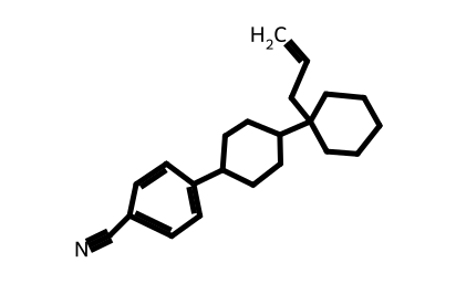 C=CCC1(C2CCC(c3ccc(C#N)cc3)CC2)CCCCC1